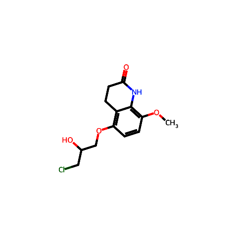 COc1ccc(OCC(O)CCl)c2c1NC(=O)CC2